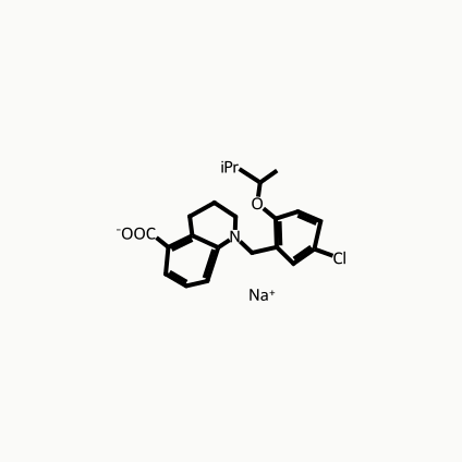 CC(C)C(C)Oc1ccc(Cl)cc1CN1CCCc2c(C(=O)[O-])cccc21.[Na+]